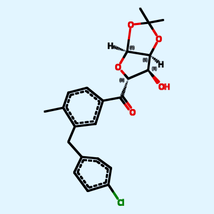 Cc1ccc(C(=O)[C@@H]2O[C@H]3OC(C)(C)O[C@H]3[C@H]2O)cc1Cc1ccc(Cl)cc1